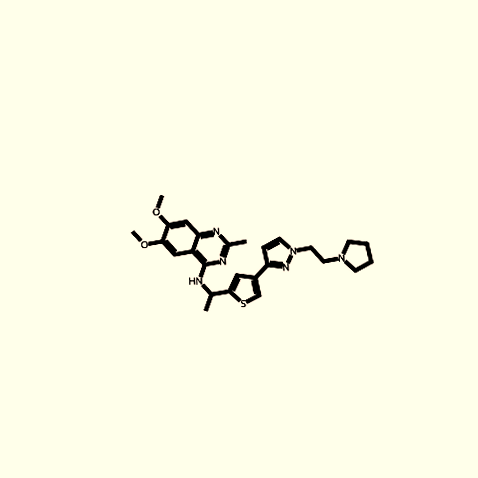 COc1cc2nc(C)nc(NC(C)c3cc(-c4ccn(CCN5CCCC5)n4)cs3)c2cc1OC